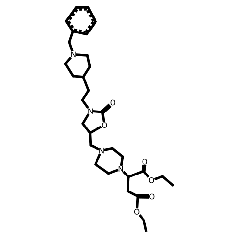 CCOC(=O)CC(C(=O)OCC)N1CCN(CC2CN(CCC3CCN(Cc4ccccc4)CC3)C(=O)O2)CC1